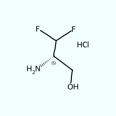 Cl.N[C@@H](CO)C(F)F